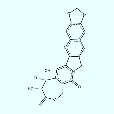 C=C1OCc2c(cc3n(c2=O)Cc2cc4cc5c(cc4nc2-3)OCO5)[C@@](O)(CC)[C@H]1O